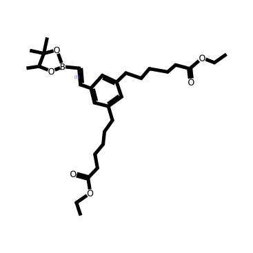 CCOC(=O)CCCCCc1cc(/C=C/B2OC(C)C(C)(C)O2)cc(CCCCCC(=O)OCC)c1